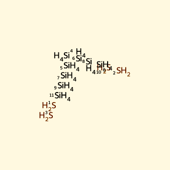 S.S.S.S.[SiH4].[SiH4].[SiH4].[SiH4].[SiH4].[SiH4].[SiH4].[SiH4]